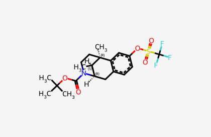 C[C@@H]1[C@H]2Cc3ccc(OS(=O)(=O)C(F)(F)F)cc3[C@]1(C)CCN2C(=O)OC(C)(C)C